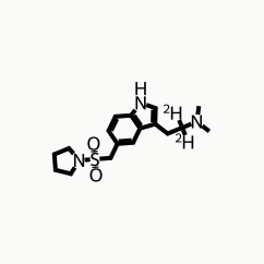 [2H]C([2H])(Cc1c[nH]c2ccc(CS(=O)(=O)N3CCCC3)cc12)N(C)C